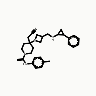 C=C(Nc1ccc(C)cc1)N1CCC(CC#N)(N2CC(CNC3CC3c3ccccc3)C2)CC1